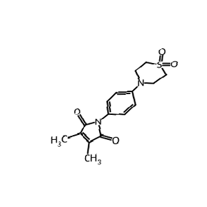 CC1=C(C)C(=O)N(c2ccc(N3CCS(=O)(=O)CC3)cc2)C1=O